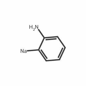 Nc1cccc[c]1[Na]